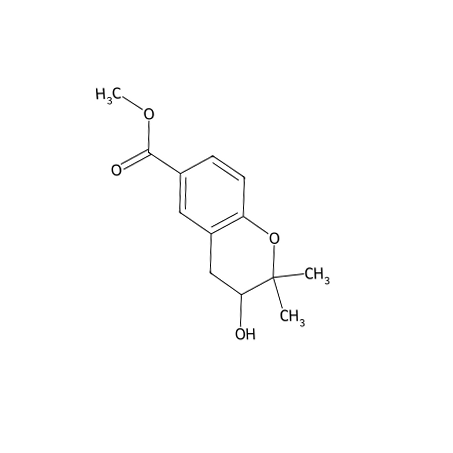 COC(=O)c1ccc2c(c1)CC(O)C(C)(C)O2